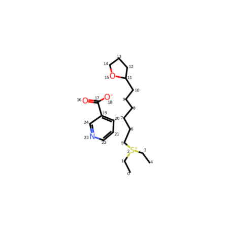 CC[S+](CC)CCCCCCC1CCCO1.O=C([O-])c1cccnc1